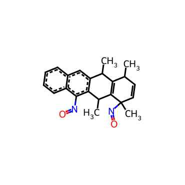 CC1C=CC(C)(N=O)C2=C1C(C)c1cc3ccccc3c(N=O)c1C2C